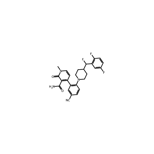 Cn1ccc(-c2cc(C#N)ccc2N2CCC(C(F)c3cc(F)ccc3F)CC2)c(C(N)=O)c1=O